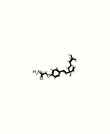 C=C[C@](C)(/C=C/c1ccc(OCC(N)=O)cc1)CCC=C(C)C